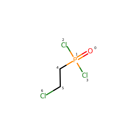 O=P(Cl)(Cl)CCCl